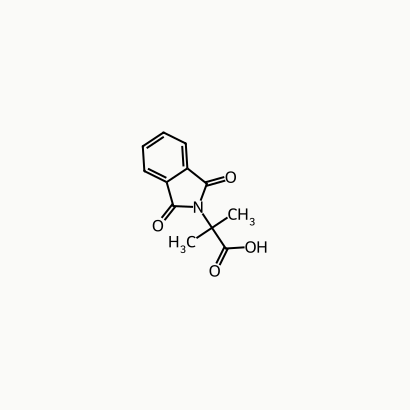 CC(C)(C(=O)O)N1C(=O)c2ccccc2C1=O